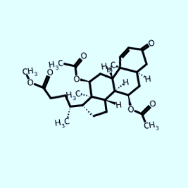 COC(=O)CC[C@@H](C)[C@H]1CC[C@H]2[C@@H]3[C@H](OC(C)=O)C[C@@H]4CC(=O)C=C[C@]4(C)[C@H]3C[C@H](OC(C)=O)[C@]12C